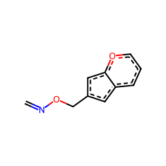 C=NOCc1cc2cccoc-2c1